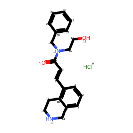 Cl.O=C(C=Cc1cccc2c1CCNC2)N(CCO)Cc1ccccc1